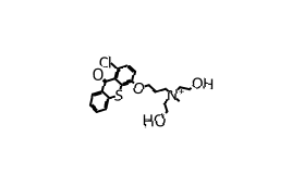 C[N+](CCO)(CCO)CCCOc1ccc(Cl)c2c(=O)c3ccccc3sc12